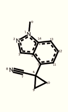 Cn1ncc2c(C3(C#N)CC3)cccc21